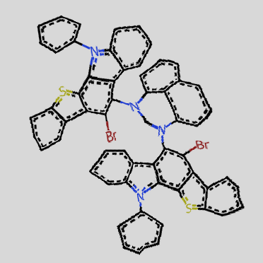 Brc1c(N2CN(c3c(Br)c4c5ccccc5sc4c4c3c3ccccc3n4-c3ccccc3)c3cccc4cccc2c34)c2c3ccccc3n(-c3ccccc3)c2c2sc3ccccc3c12